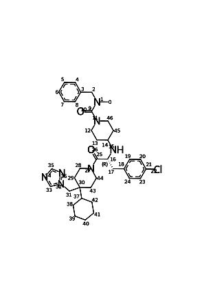 CN(Cc1ccccc1)C(=O)N1CCC(N[C@H](Cc2ccc(Cl)cc2)C(=O)N2CCC(Cn3cncn3)(C3CCCCC3)CC2)CC1